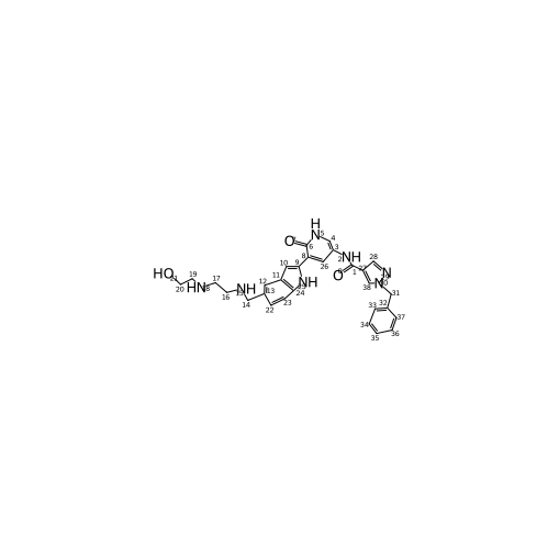 O=C(Nc1c[nH]c(=O)c(-c2cc3cc(CNCCNCCO)ccc3[nH]2)c1)c1cnn(Cc2ccccc2)c1